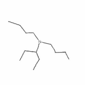 CCCCN(CCCC)C(CC)CC